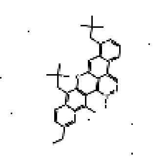 CCc1ccc2c(CC(C)(C)C)c3c(c(C)c2c1)-c1c2c(cc4c(CC(C)(C)C)cccc4c2cc[n+]1C)O3